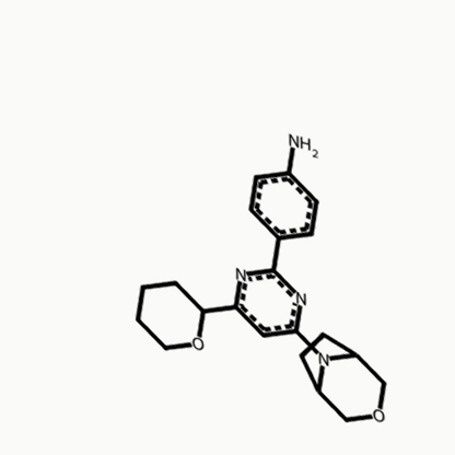 Nc1ccc(-c2nc(C3CCCCO3)cc(N3C4CCC3COC4)n2)cc1